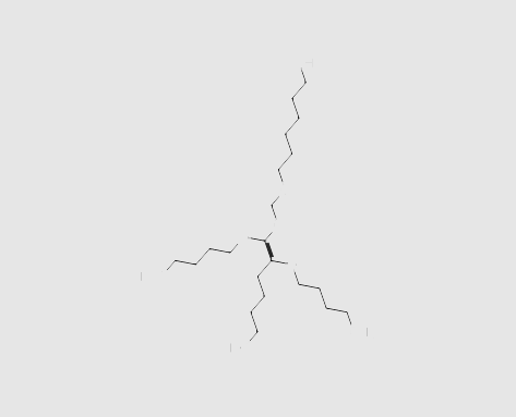 CCCCCCCOCOC(OCCCCC)=C(CCCCC)OCCCCC